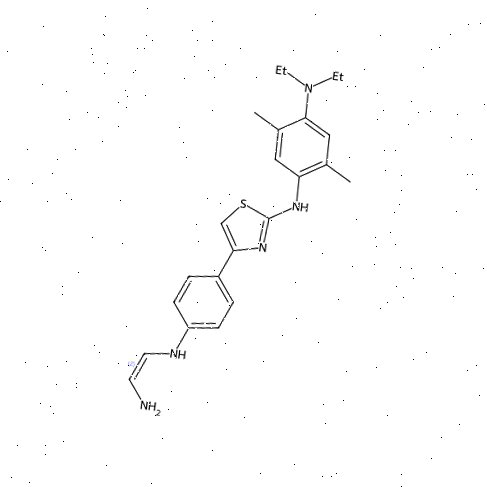 CCN(CC)c1cc(C)c(Nc2nc(-c3ccc(N/C=C\N)cc3)cs2)cc1C